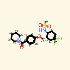 CS(=O)(=O)N[C@H]1CCC(F)(F)C[C@@H]1COc1ccc(C(=O)N2CCCCC2)cc1